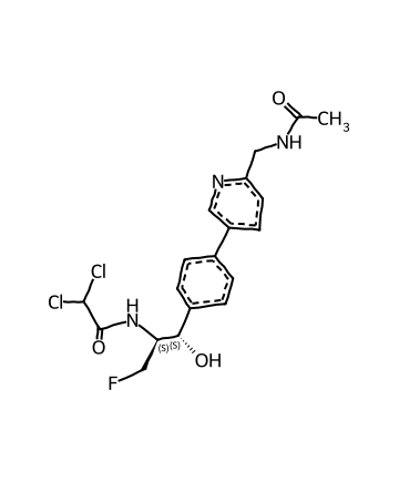 CC(=O)NCc1ccc(-c2ccc([C@H](O)[C@@H](CF)NC(=O)C(Cl)Cl)cc2)cn1